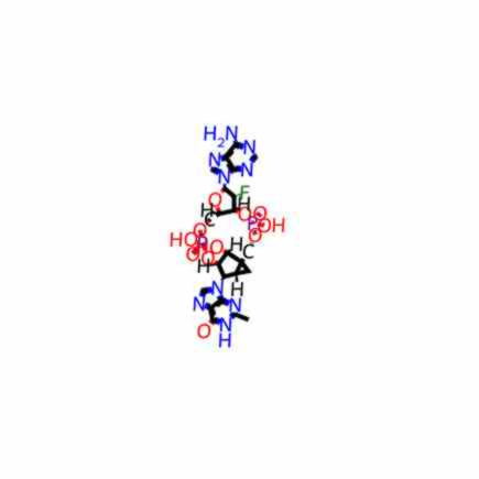 Cc1nc2c(ncn2[C@H]2[C@@H]3OP(=O)(O)OC[C@H]4O[C@@H](n5cnc6c(N)ncnc65)[C@H](F)[C@@H]4OP(=O)(O)OCC4(C[C@H]24)[C@H]3O)c(=O)[nH]1